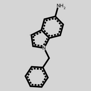 Nc1ccc2c([c]cn2Cc2ccccc2)c1